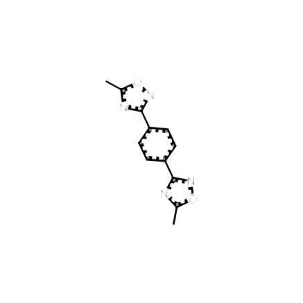 Cc1nc(-c2ccc(-c3noc(C)n3)cc2)no1